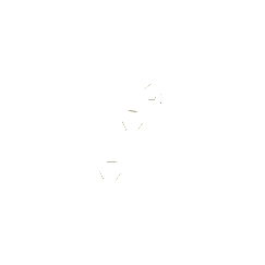 Fc1ccccc1OCc1ccc(-c2ccon2)cc1